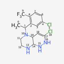 CC(c1cc(Cl)ccc1C(F)(F)F)N1CCNC2NNC(Cl)=CC21